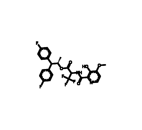 COc1ccnc(C(=O)NC(C(=O)O[C@@H](C)C(c2ccc(F)cc2)c2ccc(F)cc2)C(F)(F)F)c1O